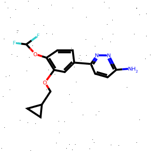 Nc1ccc(-c2ccc(OC(F)F)c(OCC3CC3)c2)nn1